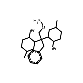 CC1CCC(C(C)C)C(C(CO[SiH3])(Cc2ccccc2)C2CC(C)CCC2C(C)C)C1